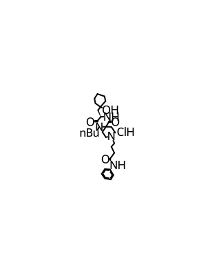 CCCCN1C(=O)[C@@H](CC2(O)CCCCC2)NC(=O)C12CCN(CCCC(=O)Nc1ccccc1)CC2.Cl